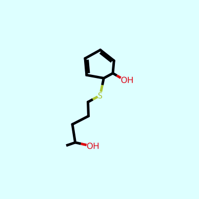 CC(O)CCCSC1C=CC=CC1O